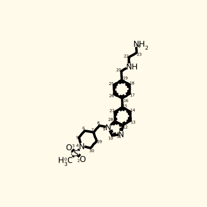 CS(=O)(=O)N1CCC(Cn2cnc3ccc(-c4ccc(CNCCN)cc4)cc32)CC1